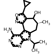 CC(C)n1c2c(c3c(N)ncnc31)-c1noc(C3CC3)c1C(O)[C@H](C)C2